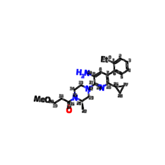 CCc1ccccc1-c1cc(N)c(N2CCN(C(=O)CCOC)[C@H](C)C2)nc1C1CC1